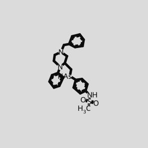 CS(=O)(=O)Nc1ccc([AsH]CC2CN(Cc3ccccc3)CCN2c2ccccc2)cc1